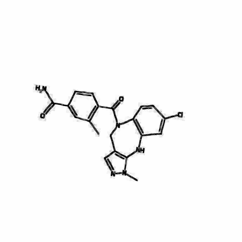 Cc1cc(C(N)=O)ccc1C(=O)N1Cc2cnn(C)c2Nc2cc(Cl)ccc21